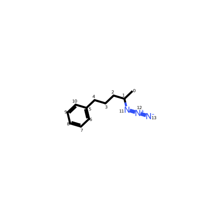 CC(CCCc1ccccc1)N=[N+]=[N-]